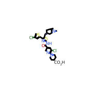 CN1CC2C/C(=C/c3sc(NC(=O)c4cnc(N5CCC(C(=O)O)CC5)c(Cl)c4)nc3-c3cc(Cl)cs3)CC1C2